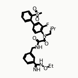 CCONC(=N)c1cccc(CNC(=O)C(=O)N(CC(C)C)c2ccc(-c3ccccc3S(C)(=O)=O)cc2F)c1